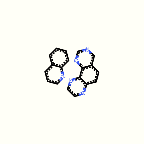 c1ccc2ncccc2c1.c1cnc2c(ccc3cncnc32)n1